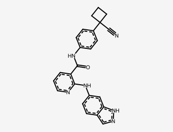 N#CC1(c2ccc(NC(=O)c3cccnc3Nc3ccc4cn[nH]c4c3)cc2)CCC1